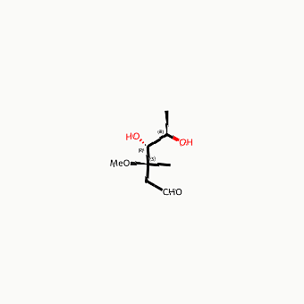 CO[C@@](C)(CC=O)[C@H](O)[C@@H](C)O